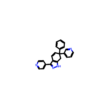 C1=CC(c2ccccc2)(c2cccnc2)Cc2[nH]nc(-c3ccncc3)c21